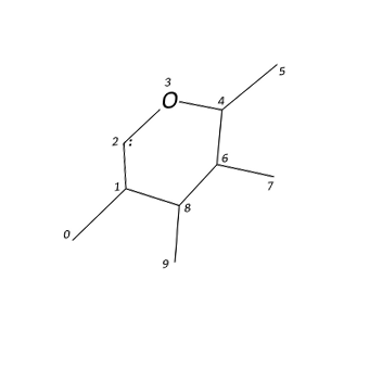 CC1[C]OC(C)C(C)C1C